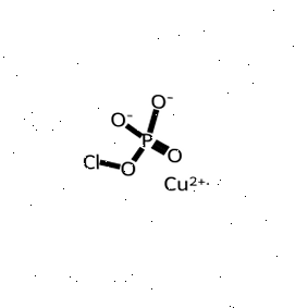 O=P([O-])([O-])OCl.[Cu+2]